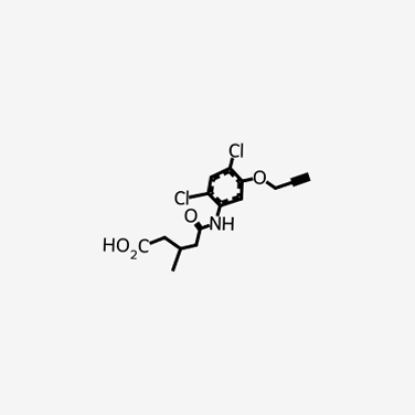 C#CCOc1cc(NC(=O)CC(C)CC(=O)O)c(Cl)cc1Cl